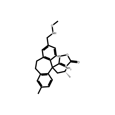 CONCc1ccc2c(c1)CCc1cc(C)ccc1C2(C[C@@H](C)N)c1nc(=O)o[nH]1